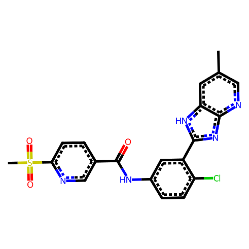 Cc1cnc2nc(-c3cc(NC(=O)c4ccc(S(C)(=O)=O)nc4)ccc3Cl)[nH]c2c1